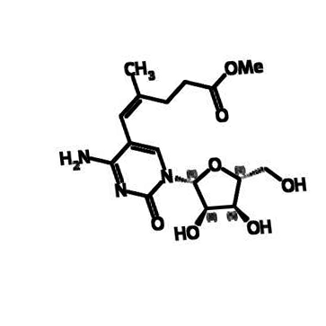 COC(=O)CCC(C)=Cc1cn([C@@H]2O[C@H](CO)[C@@H](O)[C@H]2O)c(=O)nc1N